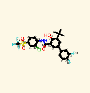 CC(C)(C)c1cc(-c2ccc(F)c(F)c2)cc(C(=O)Nc2ccc(S(=O)(=O)C(F)(F)F)cc2Cl)c1O